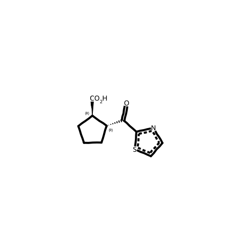 O=C(O)[C@@H]1CCC[C@H]1C(=O)c1nccs1